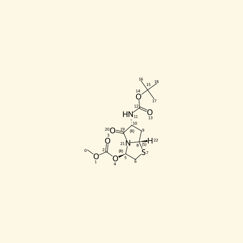 COC(=O)O[C@@H]1CS[C@H]2C[C@@H](NC(=O)OC(C)(C)C)C(=O)N21